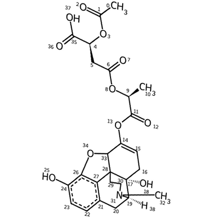 CC(=O)O[C@@H](CC(=O)O[C@@H](C)C(=O)OC1=CC[C@@]2(O)[C@H]3Cc4ccc(O)c5c4C2(CCN3C)C1O5)C(=O)O